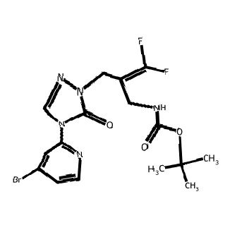 CC(C)(C)OC(=O)NCC(Cn1ncn(-c2cc(Br)ccn2)c1=O)=C(F)F